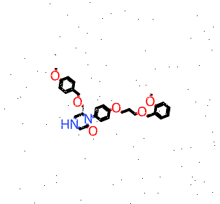 COc1ccc(COC[C@H]2CNCC(=O)N2c2ccc(OCCCOCc3ccccc3OC)cc2)cc1